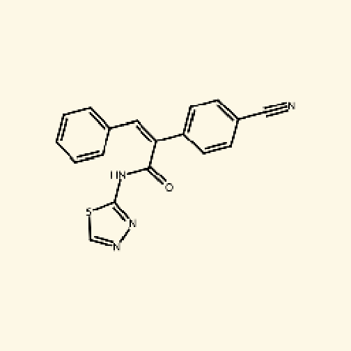 N#Cc1ccc(C(=Cc2ccccc2)C(=O)Nc2nncs2)cc1